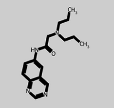 CCCN(CCC)CC(=O)Nc1ccc2ncncc2c1